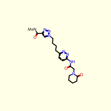 CNC(=O)c1cn(CCCCc2ccc(NC(=O)CN3CCCCC3=O)nn2)nn1